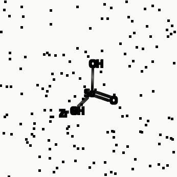 O=[Se](O)O.[Zr]